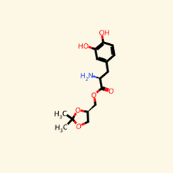 CC1(C)OC[C@H](COC(=O)[C@@H](N)Cc2ccc(O)c(O)c2)O1